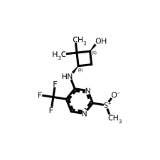 C[S+]([O-])c1ncc(C(F)(F)F)c(N[C@@H]2C[C@H](O)C2(C)C)n1